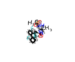 C[C@@H]1CN(C(=O)[C@@H]2C[C@@]2(F)c2c(F)cccc2-c2c(F)cccc2F)[C@@H]1CNS(C)(=O)=O